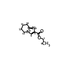 CCOC(=O)c1cn2c(n1)CCCC2